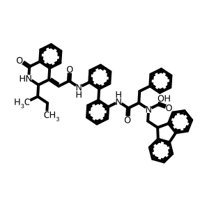 CCC(C)C1NC(=O)c2ccccc2C1=CC(=O)Nc1ccccc1-c1ccccc1NC(=O)C(Cc1ccccc1)N(CC1c2ccccc2-c2ccccc21)C(=O)O